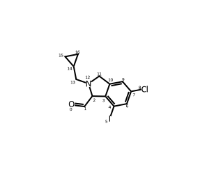 O=CC1c2c(I)cc(Cl)cc2CN1CC1CC1